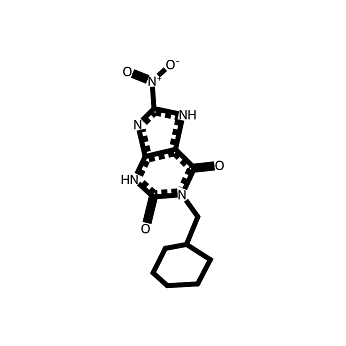 O=c1[nH]c2nc([N+](=O)[O-])[nH]c2c(=O)n1CC1CCCCC1